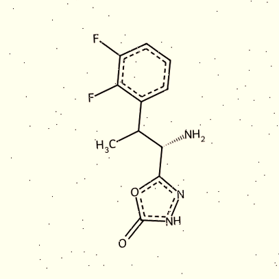 CC(c1cccc(F)c1F)[C@H](N)c1n[nH]c(=O)o1